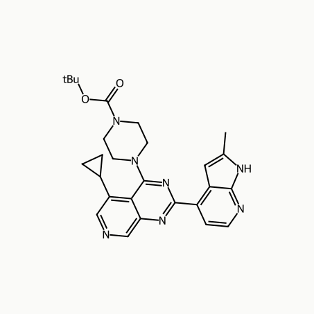 Cc1cc2c(-c3nc(N4CCN(C(=O)OC(C)(C)C)CC4)c4c(C5CC5)cncc4n3)ccnc2[nH]1